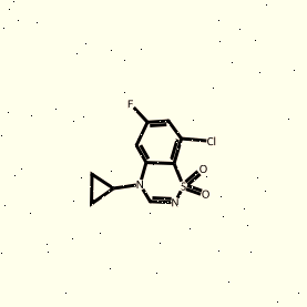 O=S1(=O)N=CN(C2CC2)c2cc(F)cc(Cl)c21